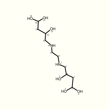 OC(O)CC(O)CNCCNCC(O)CC(O)O